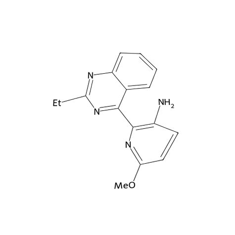 CCc1nc(-c2nc(OC)ccc2N)c2ccccc2n1